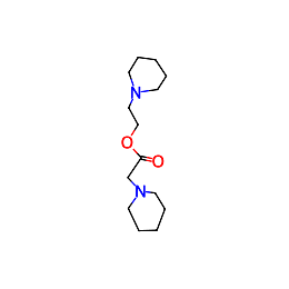 O=C(CN1CCCCC1)OCCN1CCCCC1